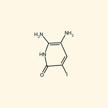 Nc1cc(I)c(=O)[nH]c1N